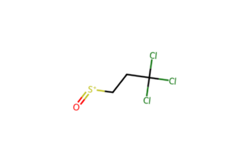 O=[S+]CCC(Cl)(Cl)Cl